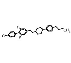 CCCCc1ccc(C2CCC(CCc3cc(F)c(-c4ccc(Cl)cc4)c(F)c3)CC2)cc1